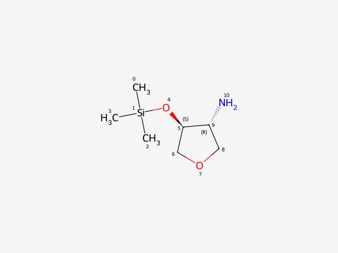 C[Si](C)(C)O[C@@H]1COC[C@H]1N